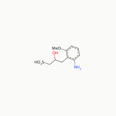 COc1cccc(N)c1CC(O)CS(=O)(=O)O